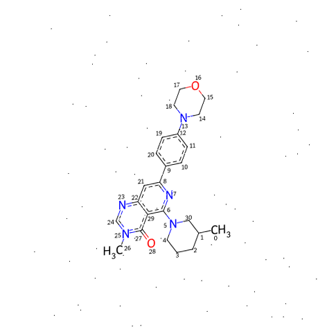 CC1CCCN(c2nc(-c3ccc(N4CCOCC4)cc3)cc3ncn(C)c(=O)c23)C1